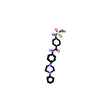 CC(C)(C)S(=O)(=O)NC1CCC(C(=O)Nc2ccc(N3CCN(c4ccccc4)CC3)cc2)CC1